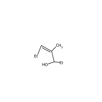 CCC=C(C)C(O)CC